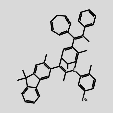 CC1=C(c2cc3c(cc2C)C(C)(C)c2ccccc2-3)C2C=C(/C(C3=CC=CCC=C3)=C(\C)c3ccccc3)C(C)=C(B1c1cc(C(C)(C)C)ccc1C)C2C